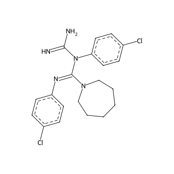 N=C(N)N(C(=Nc1ccc(Cl)cc1)N1CCCCCC1)c1ccc(Cl)cc1